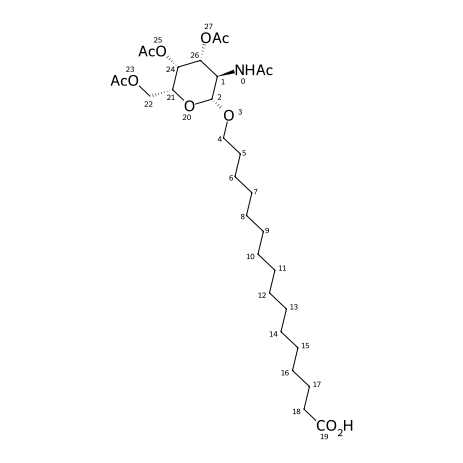 CC(=O)N[C@H]1[C@H](OCCCCCCCCCCCCCCCC(=O)O)O[C@H](COC(C)=O)[C@H](OC(C)=O)[C@@H]1OC(C)=O